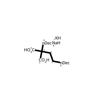 CCCCCCCCCCCCC(CCCCCCCCCC)(C(=O)O)C(=O)O.[KH].[NaH]